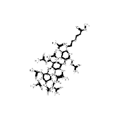 COC(=O)CCSCCO[C@@H]1O[C@H](COC(C)=O)[C@@H](O[C@@H]2O[C@H](COC(C)=O)[C@H](O[C@H]3O[C@H](COC(C)=O)[C@H](OC(C)=O)[C@H](OC(C)=O)[C@H]3OC(C)=O)[C@H](OC(C)=O)[C@H]2OC(C)=O)[C@H](OC(C)=O)[C@H]1OC(C)=O